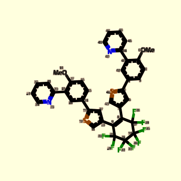 COc1ccc(-c2cc(C3=C(c4csc(-c5ccc(OC)c(-c6ccccn6)c5)c4)C(F)(F)C(F)(F)C(F)(F)C3(F)F)cs2)cc1-c1ccccn1